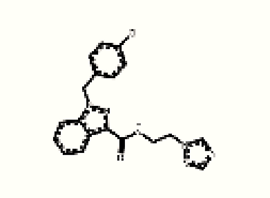 O=C(NCCn1cncn1)c1nn(Cc2ccc(Cl)cc2)c2ccccc12